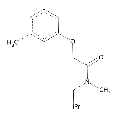 Cc1cccc(OCC(=O)N(C)CC(C)C)c1